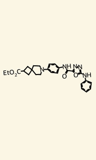 CCOC(=O)C1CC2(CCN(c3ccc(NC(=O)c4nnc(Nc5ccccc5)o4)cc3)CC2)C1